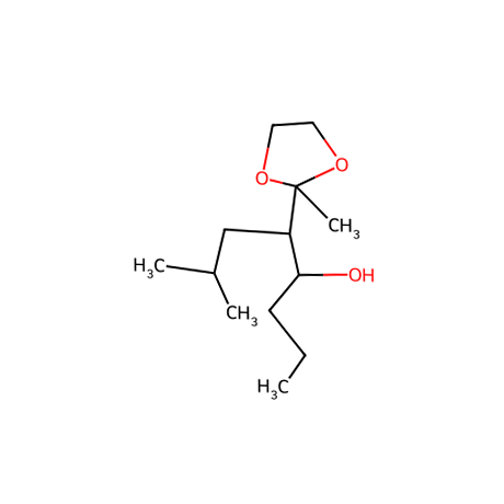 CCCC(O)C(CC(C)C)C1(C)OCCO1